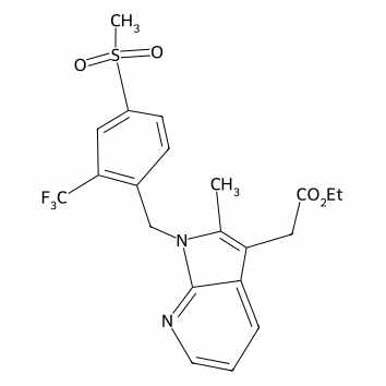 CCOC(=O)Cc1c(C)n(Cc2ccc(S(C)(=O)=O)cc2C(F)(F)F)c2ncccc12